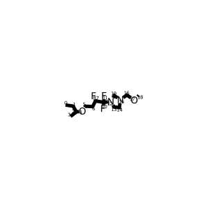 CCC(C)OCCC(F)C(F)(F)N1CCN(COC)C1